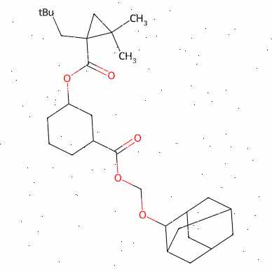 CC(C)(C)CC1(C(=O)OC2CCCC(C(=O)OCOC3C4CC5CC(C4)CC3C5)C2)CC1(C)C